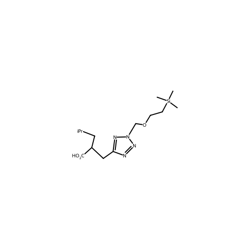 CC(C)CC(Cc1nnn(COCC[Si](C)(C)C)n1)C(=O)O